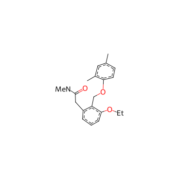 CCOc1cccc(CC(=O)NC)c1COc1ccc(C)cc1C